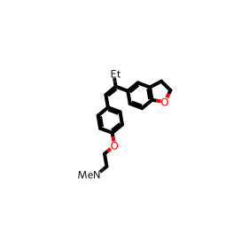 CC/C(=C/c1ccc(OCCNC)cc1)c1ccc2c(c1)CCO2